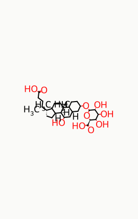 C[C@H](CCC(=O)O)[C@H]1CC[C@H]2[C@@H]3[C@H](O)C[C@@H]4C[C@H](O[C@@H]5O[C@H](C(=O)O)[C@@H](O)[C@H](O)[C@H]5O)CC[C@]4(C)[C@H]3CC[C@]12C